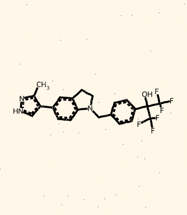 Cc1n[nH]cc1-c1ccc2c(c1)CCN2Cc1ccc(C(O)(C(F)(F)F)C(F)(F)F)cc1